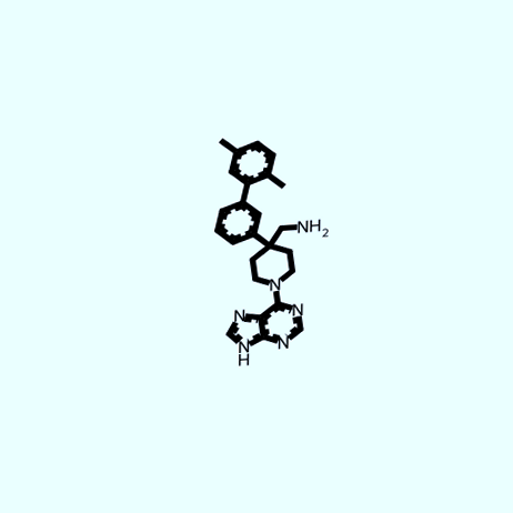 Cc1ccc(C)c(-c2cccc(C3(CN)CCN(c4ncnc5[nH]cnc45)CC3)c2)c1